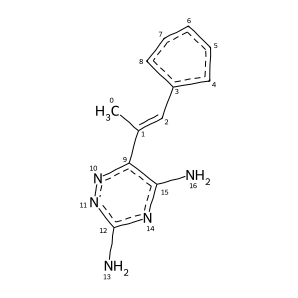 C/C(=C\c1ccccc1)c1nnc(N)nc1N